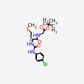 CSCC[C@H](NC(=O)Nc1ccc(Br)cc1)C(=O)NCC(=O)OC(C)(C)C